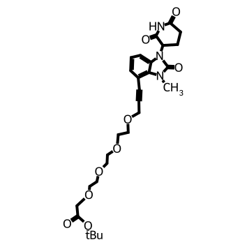 Cn1c(=O)n(C2CCC(=O)NC2=O)c2cccc(C#CCOCCOCCOCCOCC(=O)OC(C)(C)C)c21